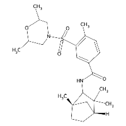 Cc1ccc(C(=O)NC2C(C)(C)[C@@H]3CC[C@@]2(C)C3)cc1S(=O)(=O)N1CC(C)OC(C)C1